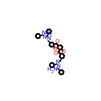 N/C(=N\C(=N/Cc1ccc2oc3c(ccc4oc5ccc(C/N=C(\N=C(/N)c6ccccc6)c6ccccc6)cc5c(=O)c43)c(=O)c2c1)c1ccccc1)c1ccccc1